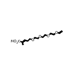 C=COCCOCCOCCOCCC=C(C)C(=O)O